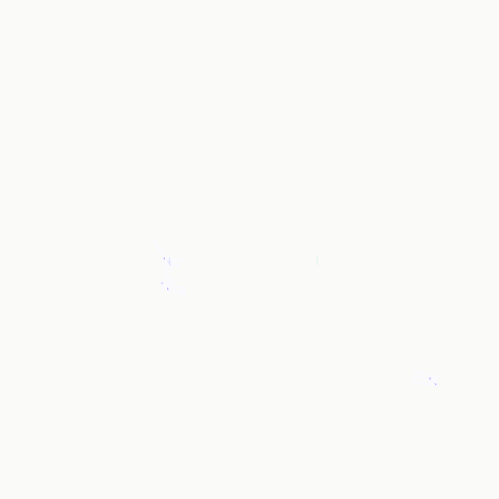 N#CCCc1ccc(-c2cnn(-c3ccccc3)c2)cc1F